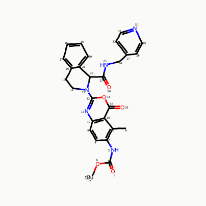 Cc1c(NC(=O)OC(C)(C)C)ccc2nc(N3CCc4ccccc4C3C(=O)NCc3ccncc3)oc(=O)c12